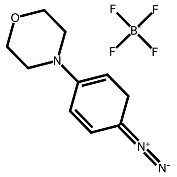 F[B-](F)(F)F.[N-]=[N+]=C1C=CC(N2CCOCC2)=CC1